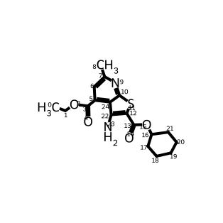 CCOC(=O)c1cc(C)nc2sc(C(=O)OC3CCCCC3)c(N)c12